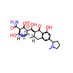 CN1CCCC1c1cc(O)c2c(c1)C[C@H]1C[C@@]34CCN[C@@H]3C(O)=C(C(N)=O)C(=O)[C@@]4(O)C(O)=C1C2=O